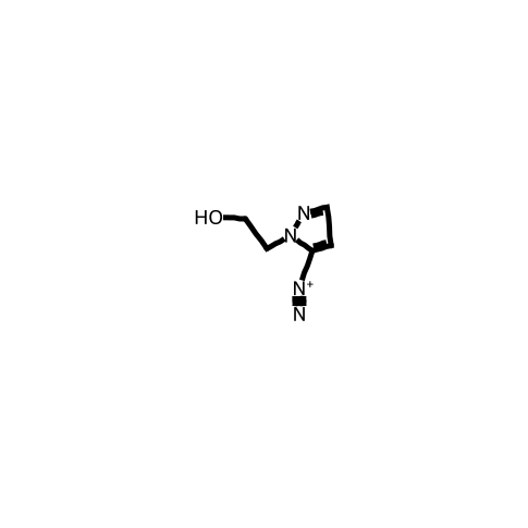 N#[N+]c1ccnn1CCO